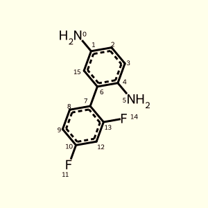 Nc1ccc(N)c(-c2ccc(F)cc2F)c1